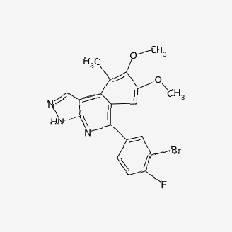 COc1cc2c(-c3ccc(F)c(Br)c3)nc3[nH]ncc3c2c(C)c1OC